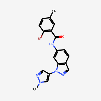 Cn1cc(-n2ncc3ccc(NC(=O)c4cc(C#N)ccc4Br)cc32)cn1